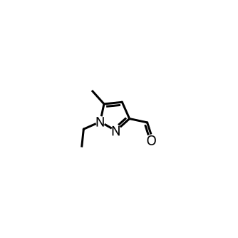 CCn1nc(C=O)cc1C